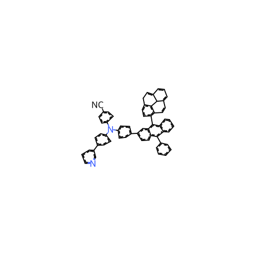 N#Cc1ccc(N(c2ccc(-c3cccnc3)cc2)c2ccc(-c3ccc4c(-c5ccccc5)c5ccccc5c(-c5ccc6c7c5C=CC5=CC=CC(=CC6)C57)c4c3)cc2)cc1